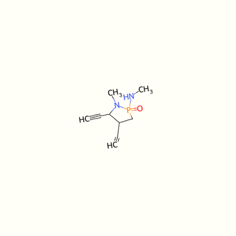 C#CC1CP(=O)(NC)N(C)C1C#C